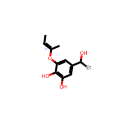 C/C=C(\C)Oc1cc(C(O)CC)cc(O)c1O